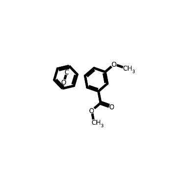 COC(=O)c1cccc(OC)c1.c1cc2ccc1CO2